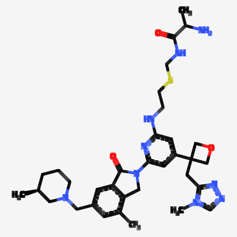 CC(N)C(=O)NCSCCNc1cc(C2(Cc3nncn3C)COC2)cc(N2Cc3c(cc(CN4CCC[C@H](C)C4)cc3C(F)(F)F)C2=O)n1